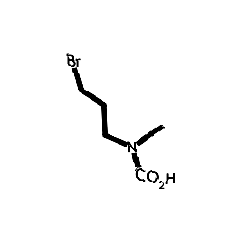 CN(CCCBr)C(=O)O